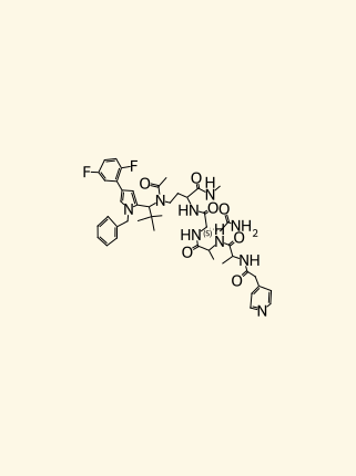 CNC(=O)C(CCN(C(C)=O)C(c1cc(-c2cc(F)ccc2F)cn1Cc1ccccc1)C(C)(C)C)NC(=O)[C@H](CC(N)=O)NC(=O)C(C)NC(=O)C(C)NC(=O)Cc1ccncc1